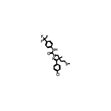 CSCCC1(C)CN(C(=O)Nc2ccc(C(F)(F)F)cc2)N=C1c1ccc(Cl)cc1